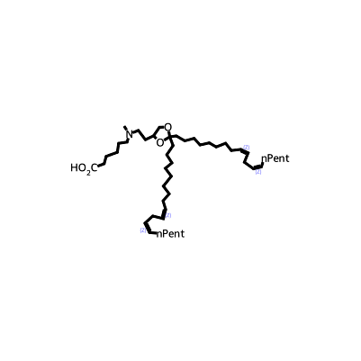 CCCCC/C=C\C/C=C\CCCCCCCCC1(CCCCCCCC/C=C\C/C=C\CCCCC)OCC(CCN(C)CCCCCC(=O)O)O1